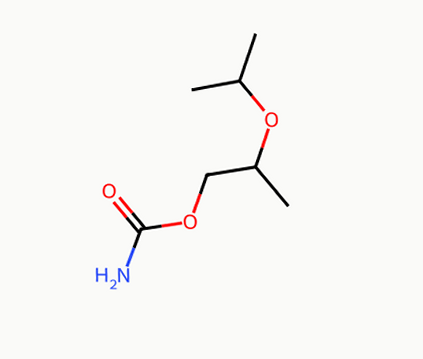 CC(C)OC(C)COC(N)=O